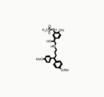 COc1ccc(C(CCCNCC(O)c2ccc(O)c(NS(C)(=O)=O)c2)c2ccc(OC)cc2)cc1